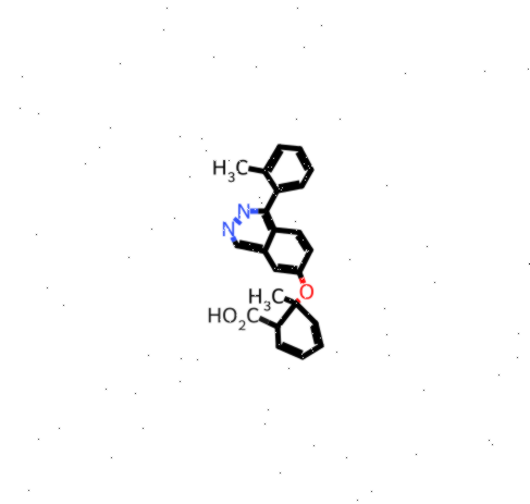 Cc1ccccc1-c1nncc2cc(OC3(C)C=CC=CC3C(=O)O)ccc12